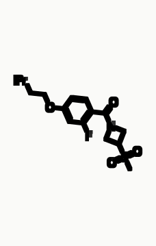 CC(C)CCOc1ccc(C(=O)N2CC(S(C)(=O)=O)C2)c(F)c1